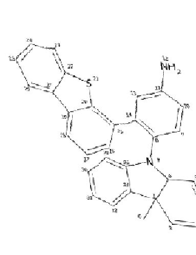 CC12C=CC=CC1N(c1ccc(N)cc1-c1cccc3c1sc1ccccc13)c1ccccc12